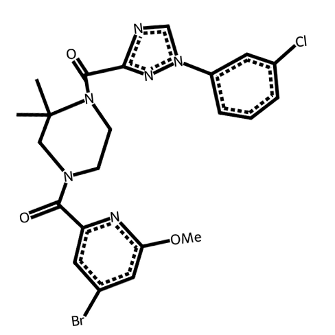 COc1cc(Br)cc(C(=O)N2CCN(C(=O)c3ncn(-c4cccc(Cl)c4)n3)C(C)(C)C2)n1